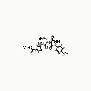 COC(=O)c1csc(NC(=O)[C@H](CC(C)C)N2C(=O)NC(c3ccc(C(C)C)cc3)C2=O)n1